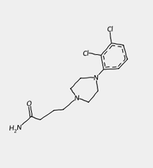 NC(=O)CCCN1CCN(c2cccc(Cl)c2Cl)CC1